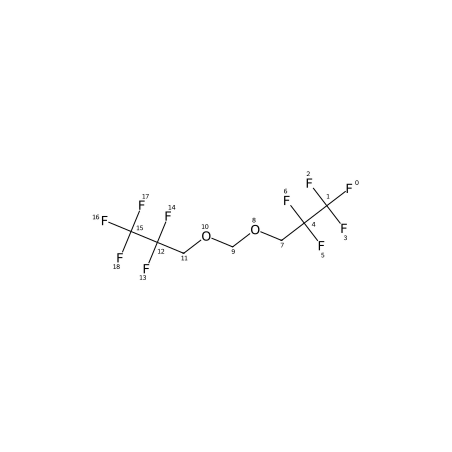 FC(F)(F)C(F)(F)COCOCC(F)(F)C(F)(F)F